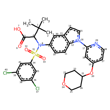 CC(C)(C)C(C(=O)O)N(c1ccc2c(ccn2-c2cc(OC3CCOCC3)ccn2)c1)S(=O)(=O)c1cc(Cl)cc(Cl)c1